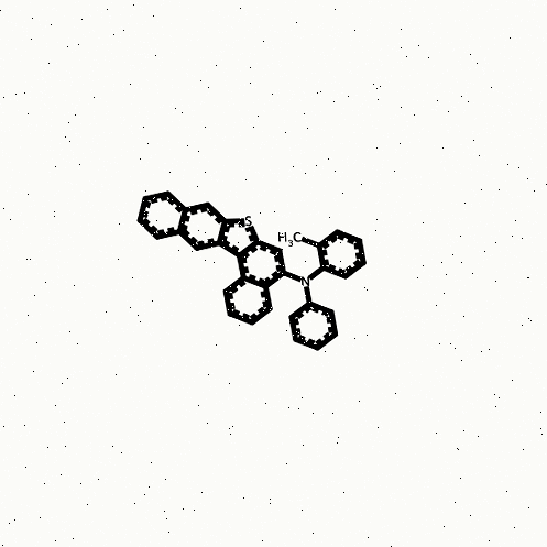 Cc1ccccc1N(c1ccccc1)c1cc2sc3cc4ccccc4cc3c2c2ccccc12